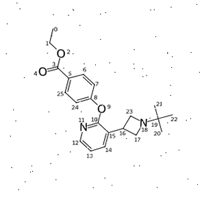 CCOC(=O)c1ccc(Oc2ncccc2C2CN(C(C)(C)C)C2)cc1